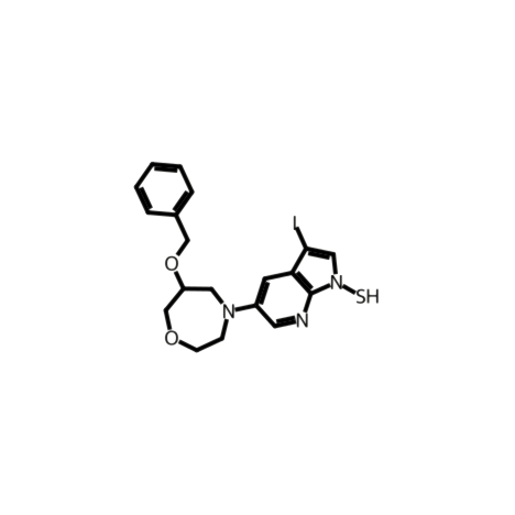 Sn1cc(I)c2cc(N3CCOCC(OCc4ccccc4)C3)cnc21